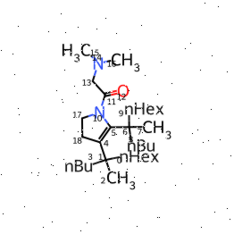 CCCCCCC(C)(CCCC)C1=C(C(C)(CCCC)CCCCCC)N(C(=O)CN(C)C)CC1